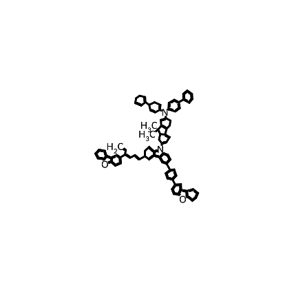 C=C/C(=C\C=C\C1C=c2c(n(C3=CC=C4C5=C(C=C(N(C6=CCC(C7=CCCC=C7)C=C6)c6ccc(-c7ccccc7)cc6)CC5)C(C)(C)C4C3)c3ccc(-c4ccc(-c5ccc6oc7ccccc7c6c5)cc4)cc23)=CC1)c1ccc2oc3ccccc3c2c1